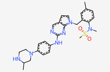 Cc1ccc(N(C)S(C)(=O)=O)c(Cn2ccc3cnc(Nc4ccc(N5CCNC(C)C5)cc4)nc32)c1